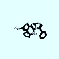 COc1cc(F)c(-c2nc3scc(-c4ccccc4)n3c2NC2CCCC2)c(F)c1